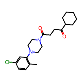 Cc1ccc(Cl)cc1N1CCN(C(=O)CCC(=O)C2CCCCC2)CC1